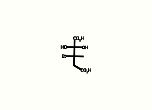 CCC(C)(CC(=O)O)C(O)(O)C(=O)O